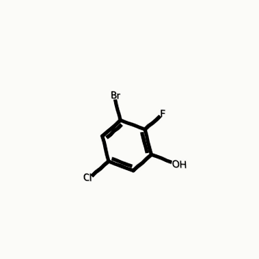 Oc1cc(Cl)cc(Br)c1F